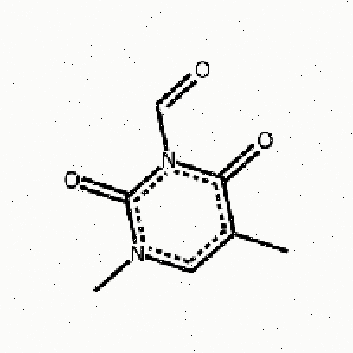 Cc1cn(C)c(=O)n(C=O)c1=O